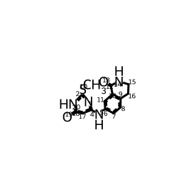 CSc1nc(Nc2ccc3c(c2)C(=O)NCC3)cc(=O)[nH]1